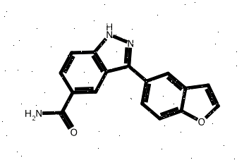 NC(=O)c1ccc2[nH]nc(-c3ccc4occc4c3)c2c1